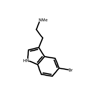 CNCCc1c[nH]c2ccc(Br)cc12